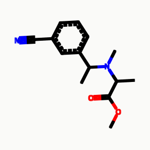 COC(=O)C(C)N(C)C(C)c1cccc(C#N)c1